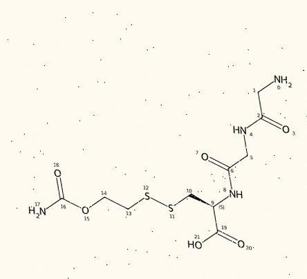 NCC(=O)NCC(=O)N[C@H](CSSCCOC(N)=O)C(=O)O